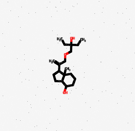 C=C(COCC(O)(CC)CC)C1CCC2C(O)CCCC12C